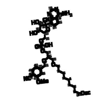 CCCCCCCCCCCCCCCCCCOC[C@H](COP(=O)(O)OC[C@H]1O[C@@](C#N)(c2ccc3c(N)ncnn23)[C@H](O)[C@@H]1O)OCc1ccc(C#N)c(OC)c1